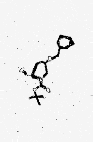 CC(C)(C)OC(=O)N1C[C@H](OCc2ccccc2)C[C@H]1C=O